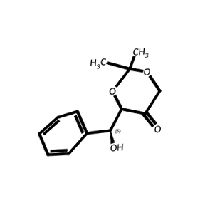 CC1(C)OCC(=O)C([C@@H](O)c2ccccc2)O1